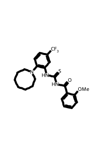 COc1ccccc1C(=O)NC(=S)Nc1cc(C(F)(F)F)ccc1N1CCCCCCC1